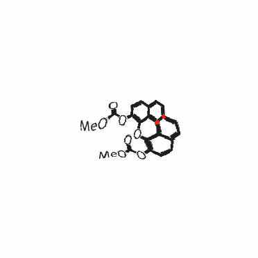 COC(=O)Oc1ccc2ccccc2c1Oc1c(OC(=O)OC)ccc2ccccc12